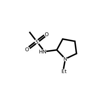 CCN1CCCC1NS(C)(=O)=O